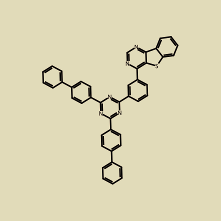 c1ccc(-c2ccc(-c3nc(-c4ccc(-c5ccccc5)cc4)nc(-c4cccc(-c5ncnc6c5sc5ccccc56)c4)n3)cc2)cc1